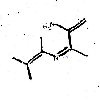 C=C(N)/C(C)=N\C(C)=C(C)C